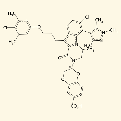 Cc1cc(OCCCc2c3n(c4c(-c5c(C)nn(C)c5C)c(Cl)ccc24)C(C)CN([C@H]2COc4cc(C(=O)O)ccc4O2)C3=O)cc(C)c1Cl